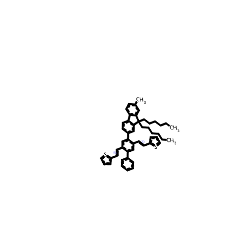 CCCCCCC1(CCCCCC)c2cc(C)ccc2-c2ccc(-c3cc(/C=C/c4cccs4)c(-c4ccccc4)cc3/C=C/c3cccs3)cc21